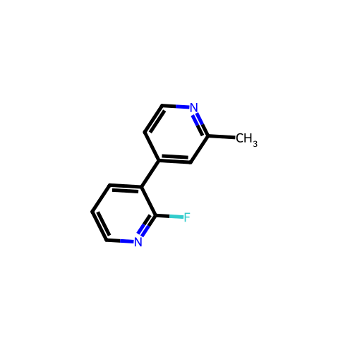 Cc1cc(-c2cccnc2F)ccn1